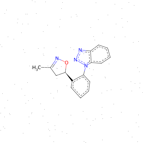 CC1=NO[C@@H](c2ccccc2-n2nnc3ccccc32)C1